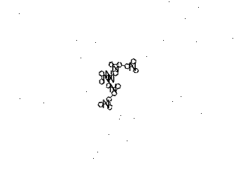 c1ccc(-c2ccccc2-c2nc(-c3cccc(-n4c5ccccc5c5ccc(-c6ccc7c(c6)c6ccccc6n7-c6ccccc6)cc54)c3)nc(-c3cccc(-n4c5ccccc5c5ccc(-c6ccc7c(c6)c6ccccc6n7-c6ccccc6)cc54)c3)n2)cc1